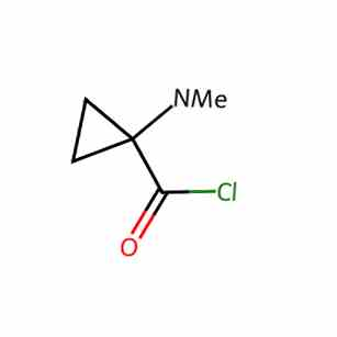 CNC1(C(=O)Cl)CC1